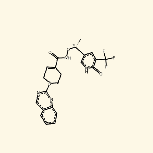 C[C@@H](ONC(=O)C1=CCN(c2ncc3ccccc3n2)CC1)c1c[nH]c(=O)c(C(F)(F)F)c1